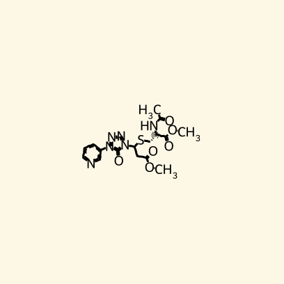 COC(=O)CC(SC[C@H](NC(C)=O)C(=O)OC)n1nnn(-c2cccnc2)c1=O